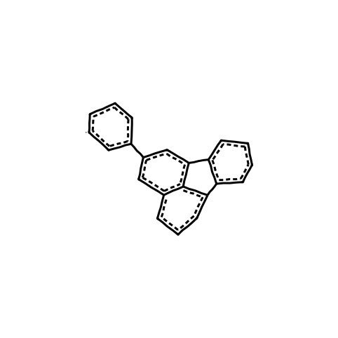 [c]1cccc(-c2cc3c4c(cccc4c2)-c2ccccc2-3)c1